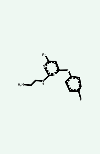 CC(C)c1cc(Oc2ccc(F)cc2)nc(NCCN)n1